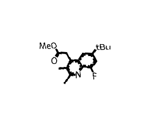 COC(=O)Cc1c(C)c(C)nc2c(F)cc(C(C)(C)C)cc12